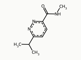 CNC(=O)c1ccc(C(C)C)nn1